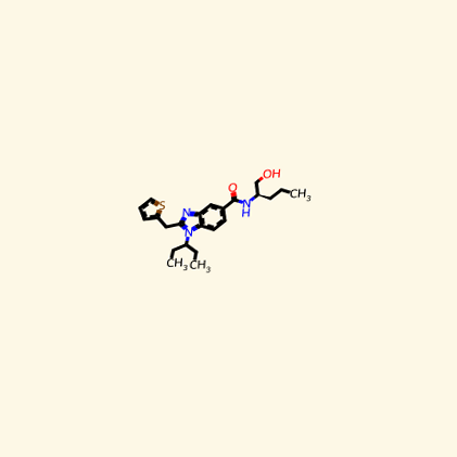 CCC[C@H](CO)NC(=O)c1ccc2c(c1)nc(Cc1cccs1)n2C(CC)CC